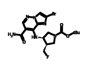 CC(C)(C)OC(=O)N1C[C@H](CF)[C@H](Nc2c(C(N)=O)cnn3cc(Br)nc23)C1